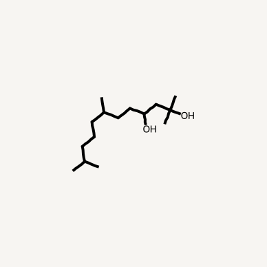 CC(C)CCCC(C)CCC(O)CC(C)(C)O